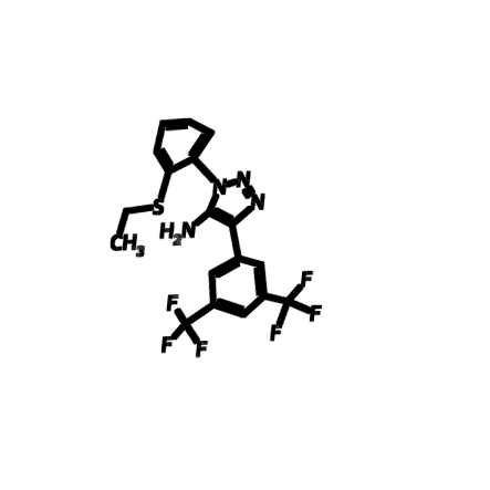 CCSc1ccccc1-n1nnc(-c2cc(C(F)(F)F)cc(C(F)(F)F)c2)c1N